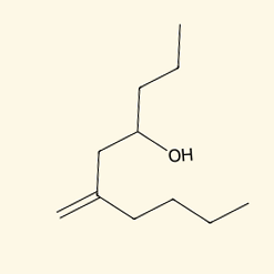 C=C(CCCC)CC(O)CCC